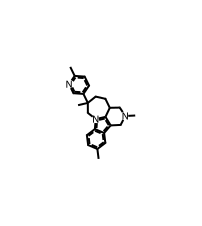 Cc1ccc2c(c1)c1c3n2CC(C)(c2ccc(C)nc2)CCC3CN(C)C1